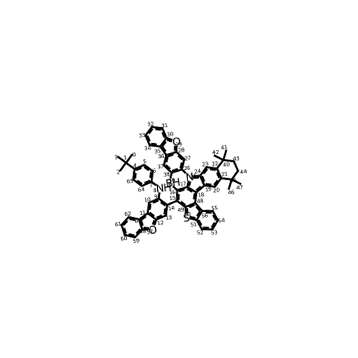 CC(C)(C)c1ccc(Nc2cc3c(cc2-c2c4c5c(c6cc7c(cc6n5-c5cc6oc8ccccc8c6cc5B4)C(C)(C)CCC7(C)C)c4c2sc2ccccc24)oc2ccccc23)cc1